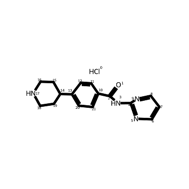 Cl.O=C(Nc1ncccn1)c1ccc(C2CCNCC2)cc1